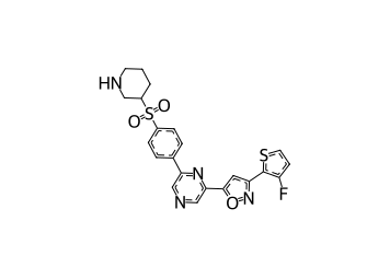 O=S(=O)(c1ccc(-c2cncc(-c3cc(-c4sccc4F)no3)n2)cc1)C1CCCNC1